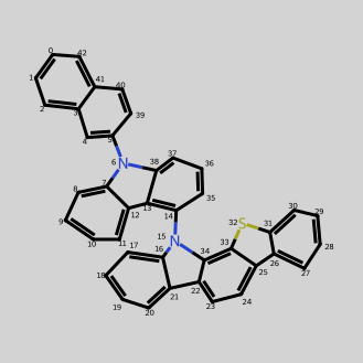 c1ccc2cc(-n3c4ccccc4c4c(-n5c6ccccc6c6ccc7c8ccccc8sc7c65)cccc43)ccc2c1